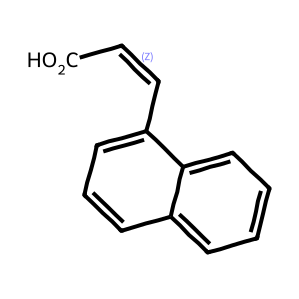 O=C(O)/C=C\c1cccc2ccccc12